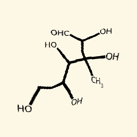 CC(O)(C(O)C=O)C(O)C(O)CO